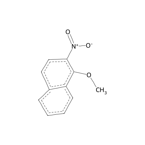 COc1c([N+](=O)[O-])ccc2ccccc12